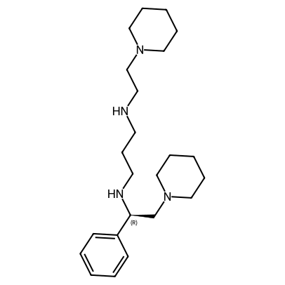 c1ccc([C@H](CN2CCCCC2)NCCCNCCN2CCCCC2)cc1